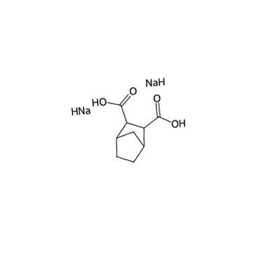 O=C(O)C1C2CCC(C2)C1C(=O)O.[NaH].[NaH]